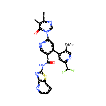 COc1cnc(C(F)F)cc1-c1cc(-n2cnc(C)c(C)c2=O)ncc1C(=O)Nc1nc2ncccc2s1